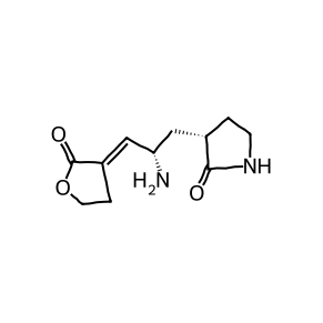 N[C@H](/C=C1\CCOC1=O)C[C@@H]1CCNC1=O